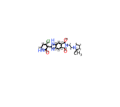 C[C@@H]1CCCN1CCN1C(=O)c2cc3nc(-c4c(Cl)cc[nH]c4=O)[nH]c3cc2C1=O